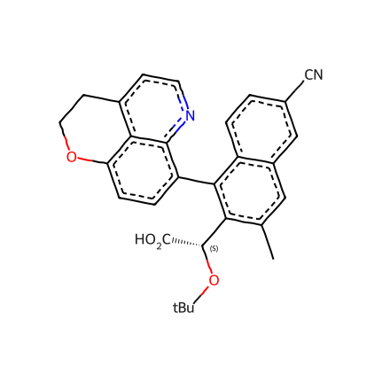 Cc1cc2cc(C#N)ccc2c(-c2ccc3c4c(ccnc24)CCO3)c1[C@H](OC(C)(C)C)C(=O)O